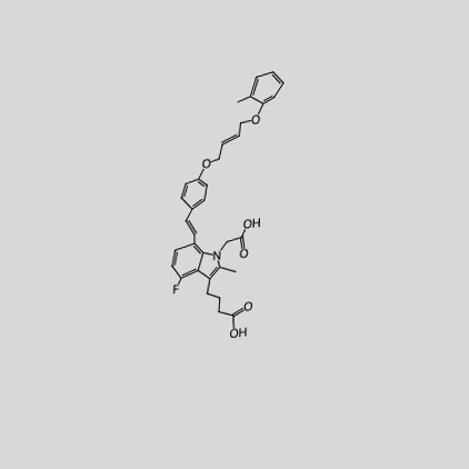 Cc1ccccc1OCC=CCOc1ccc(C=Cc2ccc(F)c3c(CCCC(=O)O)c(C)n(CC(=O)O)c23)cc1